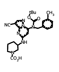 Cc1cccc(CN(C(=O)OC(C)(C)C)c2cc(NC3CCCN(C(=O)O)C3)nc3c(C#N)cnn23)c1